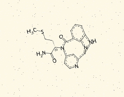 CSCC[C@@H](C(N)=O)n1c(=O)c2cccc3[nH]c(nc32)c2cc1ccn2